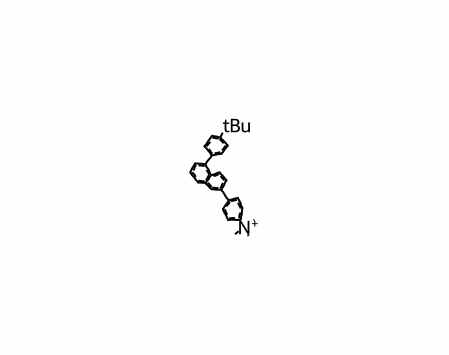 CC(C)(C)c1ccc(-c2cccc3cc(-c4ccc([N+](C)(C)C)cc4)ccc23)cc1